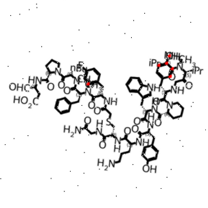 CCCC[C@@H](C(=O)N1CCC[C@@H]1C(=O)N[C@H](C=O)CC(=O)O)N(C)C(=O)[C@H](Cc1ccccc1)N(C)C(=O)[C@H](Cc1ccc(F)cc1)NC(=O)CSC[C@H](NC(=O)[C@H](CCCN)NC(=O)[C@H](Cc1ccc(O)cc1)NC(=O)[C@H](Cc1c[nH]c2ccccc12)NC(=O)[C@H]1CCCCN1C(=O)[C@H](Cc1ccc(O)cc1)NCC(=O)[C@H](C(C)C)N(C)C(=O)[C@@H](N)C(C)C)C(=O)NCC(N)=O